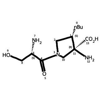 CCCC[C@H]1CN(C(=O)[C@@H](N)CO)C[C@@]1(N)C(=O)O